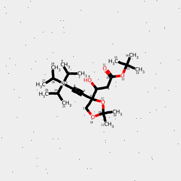 CC(C)[Si](C#CC1(C(O)CC(=O)OC(C)(C)C)COC(C)(C)O1)(C(C)C)C(C)C